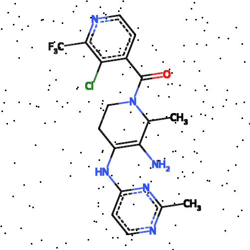 Cc1nccc(NC2=C(N)C(C)N(C(=O)c3ccnc(C(F)(F)F)c3Cl)CC2)n1